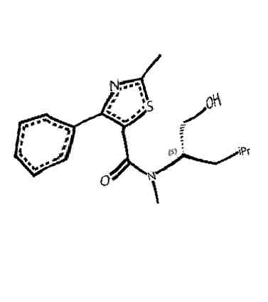 Cc1nc(-c2ccccc2)c(C(=O)N(C)[C@H](CO)CC(C)C)s1